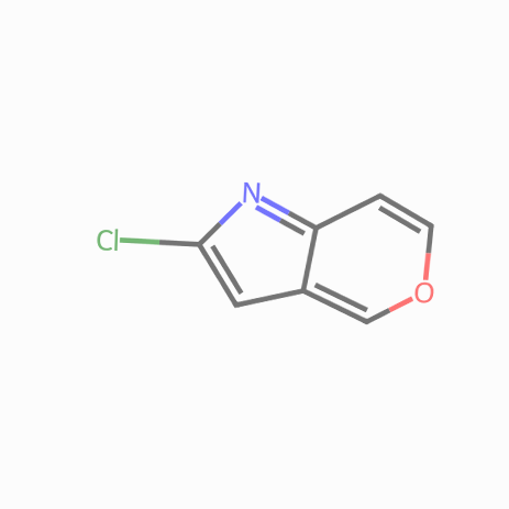 Clc1cc2coccc-2n1